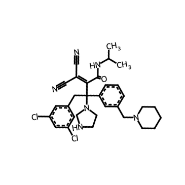 CC(C)NC(=O)C(=C(C#N)C#N)C(Cc1cc(Cl)cc(Cl)c1)(c1cccc(CN2CCCCC2)c1)N1CCNC1